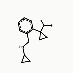 FC(F)C1(c2ccccc2CNC2CC2)CC1